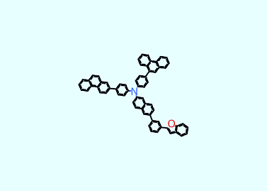 c1cc(-c2ccc3cc(N(c4ccc(-c5ccc6c(ccc7ccccc76)c5)cc4)c4ccc(-c5cc6ccccc6c6ccccc56)cc4)ccc3c2)cc(-c2cc3ccccc3o2)c1